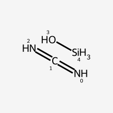 N=C=N.O[SiH3]